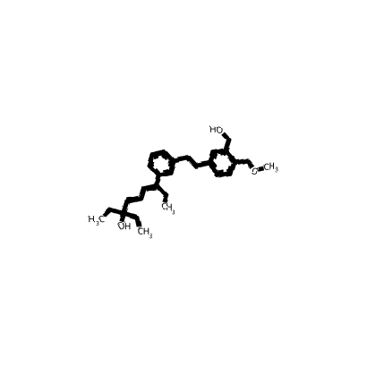 CC/C(=C\C=C\C(O)(CC)CC)c1cccc(CCc2ccc(COC)c(CO)c2)c1